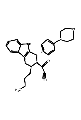 C#CC(=O)N1[C@@H](CCCC)Cc2c([nH]c3ccccc23)[C@@H]1c1ccc(N2CCOCC2)cc1